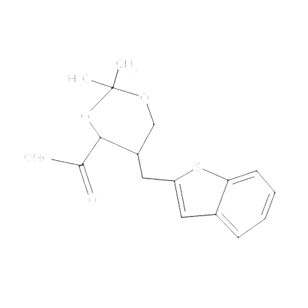 CC1(C)OCC(Cc2cc3ccccc3s2)C(C(=O)C=O)O1